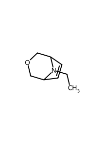 CCN1C2C=CC1COC2